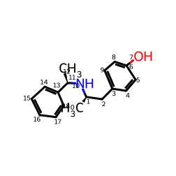 C[C@H](Cc1ccc(O)cc1)N[C@H](C)c1ccccc1